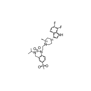 CC(C)N1Cc2cc(S(C)(=O)=O)ccc2N(CCN2CC[C@@H](c3c[nH]c4c(F)c(F)ccc34)C[C@@H]2C)S1(=O)=O